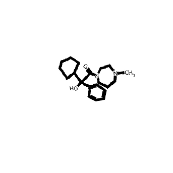 CN1CCCN(C(=O)C(O)(c2ccccc2)C2CCCCC2)CC1